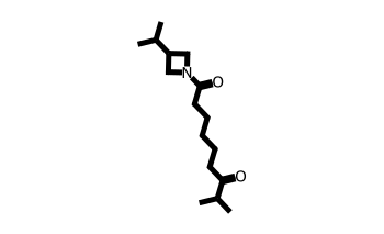 CC(C)C(=O)CCCCCC(=O)N1CC(C(C)C)C1